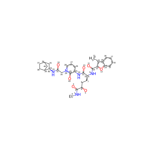 CCNC(=O)C(=O)CC[C@H](NC(=O)c1oc2ccccc2c1C)C(=O)Nc1cccn(CC(=O)N[C@@H]2CC3CCC2C3)c1=O